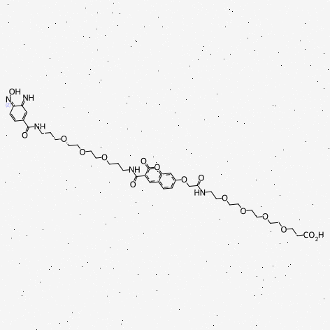 N=C1C=C(C(=O)NCCCOCCOCCOCCCNC(=O)c2cc3ccc(OCC(=O)NCCOCCOCCOCCOCCC(=O)O)cc3oc2=O)C=C/C1=N/O